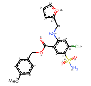 COc1ccc(COC(=O)c2cc(S(N)(=O)=O)c(Cl)cc2NCc2ccco2)cc1